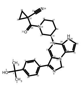 CC(C)(O)c1ccc(C2=NCN3C2=CN([C@@H]2CCCN(C(=O)C4(C#N)CC4)C2)c2[nH]ccc23)cc1